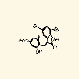 Cc1cc(O)cc(O)c1C=C1C(=O)Nc2c(Br)cc(Br)cc21